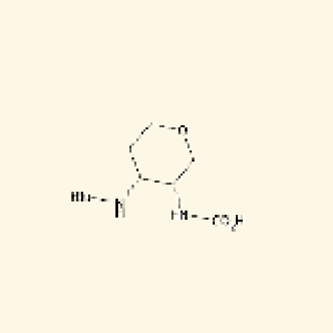 CC(C)(C)N[C@@H]1CCOC[C@@H]1NC(=O)O